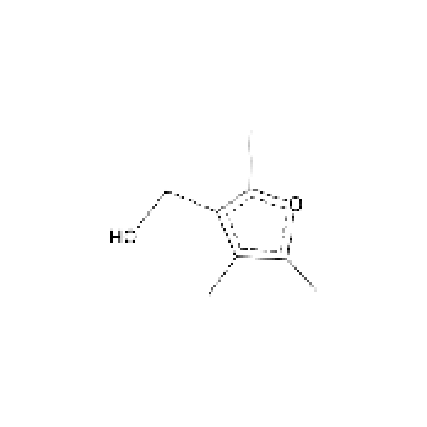 Cc1oc(C)c(CO)c1C